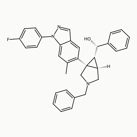 Cc1cc2c(cnn2-c2ccc(F)cc2)cc1[C@@]12CN(Cc3ccccc3)C[C@@H]1[C@H]2[C@H](O)c1ccccc1